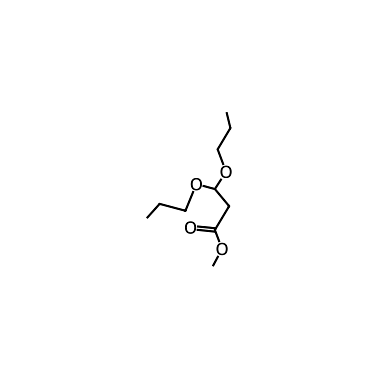 CCCOC(CC(=O)OC)OCCC